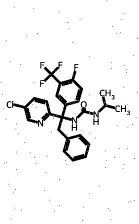 CC(C)NC(=O)NC(Cc1ccccc1)(c1ccc(F)c(C(F)(F)F)c1)c1ccc(Cl)cn1